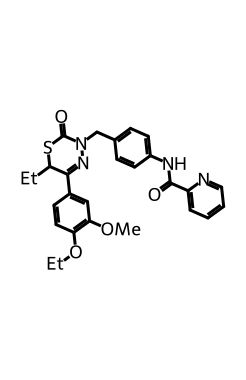 CCOc1ccc(C2=NN(Cc3ccc(NC(=O)c4ccccn4)cc3)C(=O)SC2CC)cc1OC